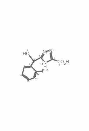 O=C(O)c1nnc(C(O)c2ccccc2F)[nH]1